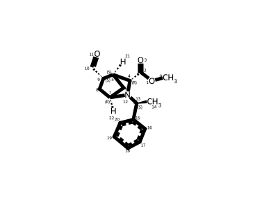 COC(=O)[C@H]1[C@H]2C[C@H](C[C@@H]2C=O)N1[C@@H](C)c1ccccc1